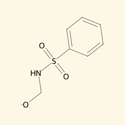 [O]CNS(=O)(=O)c1ccccc1